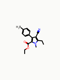 Bc1ccc(-c2c(C#N)c(CC)n(C)c2C(=O)OCC)cc1